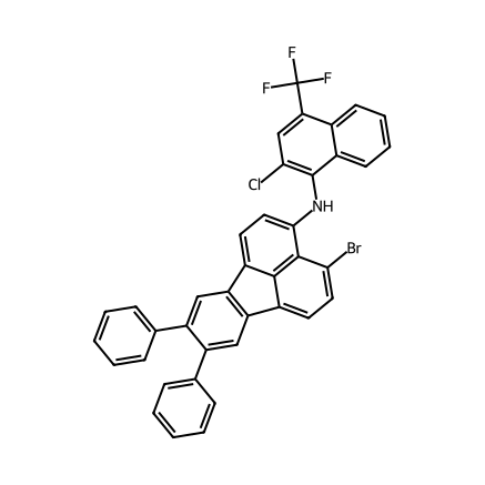 FC(F)(F)c1cc(Cl)c(Nc2ccc3c4c(ccc(Br)c24)-c2cc(-c4ccccc4)c(-c4ccccc4)cc2-3)c2ccccc12